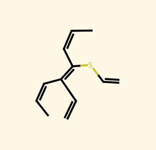 C=CSC(/C=C\C)=C(C=C)/C=C\C